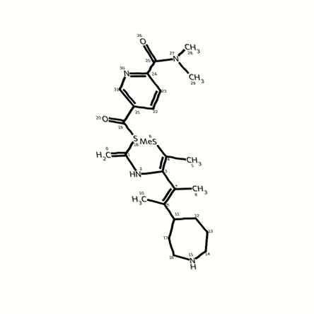 C=C(NC(=C(/C)SC)/C(C)=C(\C)C1CCCNCC1)SC(=O)c1ccc(C(=O)N(C)C)nc1